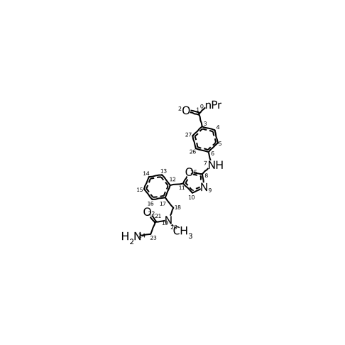 CCCC(=O)c1ccc(Nc2ncc(-c3ccccc3CN(C)C(=O)CN)o2)cc1